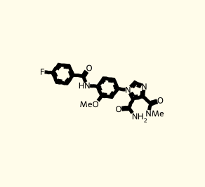 CNC(=O)c1ncn(-c2ccc(NC(=O)c3ccc(F)cc3)c(OC)c2)c1C(N)=O